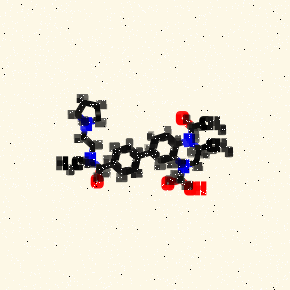 CC(=O)N1c2ccc(-c3ccc(C(=O)N(C)CCN4CCCC4)cc3)cc2N(C(=O)O)C[C@@H]1C